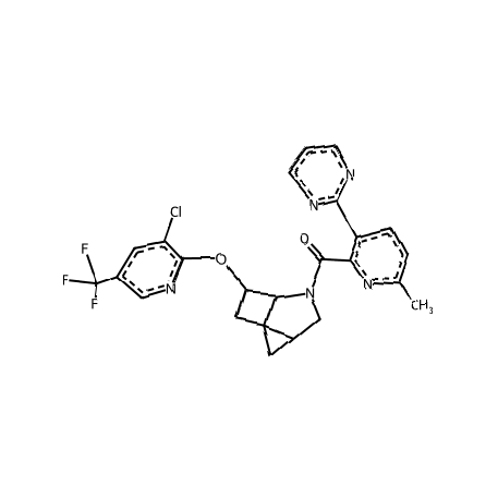 Cc1ccc(-c2ncccn2)c(C(=O)N2CC3CC34CC(Oc3ncc(C(F)(F)F)cc3Cl)C24)n1